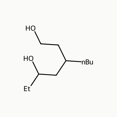 CCCCC(CCO)CC(O)CC